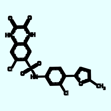 Cc1ccc(-c2ccc(NS(=O)(=O)c3cc4[nH]c(=O)c(=O)[nH]c4cc3Cl)cc2Cl)o1